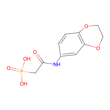 O=C(CP(=O)(O)O)Nc1ccc2c(c1)OCCO2